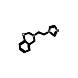 c1ccc2c(c1)CN(CCn1ccnc1)CO2